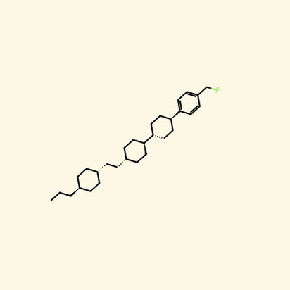 CCC[C@H]1CC[C@H](CC[C@H]2CC[C@H]([C@H]3CC[C@H](c4ccc(CF)cc4)CC3)CC2)CC1